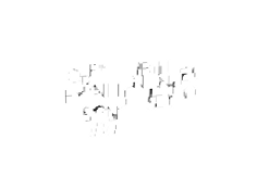 CCC(C)N(CCN(C(=S)NP(=O)(CC)CC)C(C)CC)C(=S)NP(=O)(CC)CC